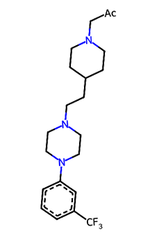 CC(=O)CN1CCC(CCN2CCN(c3cccc(C(F)(F)F)c3)CC2)CC1